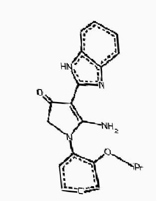 CC(C)Oc1ccccc1N1CC(=O)C(c2nc3ccccc3[nH]2)=C1N